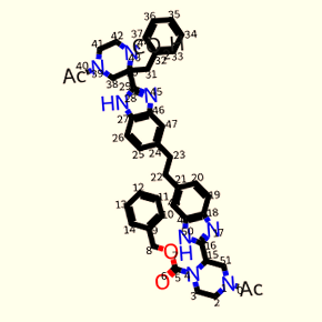 CC(=O)N1CCN(C(=O)OCc2ccccc2)C(c2nc3ccc(CCc4ccc5[nH]c(C6(Cc7ccccc7)CN(C(C)=O)CCN6C(=O)O)nc5c4)cc3[nH]2)C1